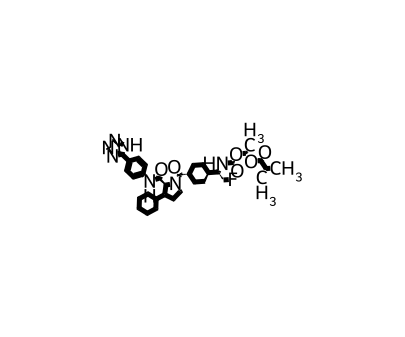 CC(C)C(=O)O[C@@H](C)OC(=O)N[C@H](CF)[C@H]1CC[C@H](C(=O)N2CCC(C3CCCCC3)[C@H]2C(=O)Nc2ccc(-c3nnn[nH]3)cc2)CC1